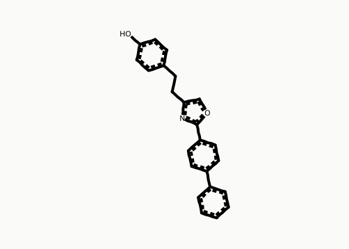 Oc1ccc(CCc2coc(-c3ccc(-c4ccccc4)cc3)n2)cc1